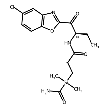 CC[C@@H](NC(=O)[CH]C[Si](C)(C)C(N)=O)C(=O)c1nc2cc(Cl)ccc2o1